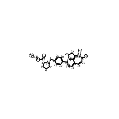 CC(C)(C)OC(=O)[C@H]1CCCN1Cc1ccc(C2=NC=C3C=CC(=O)NC4=C3N2CC4)cc1